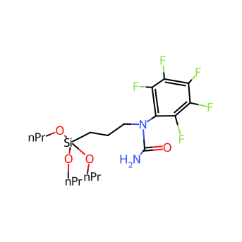 CCCO[Si](CCCN(C(N)=O)c1c(F)c(F)c(F)c(F)c1F)(OCCC)OCCC